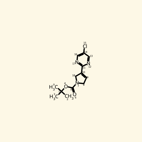 CC(C)(C)OC(=O)N1CC=C(c2ncc(Cl)cn2)C1